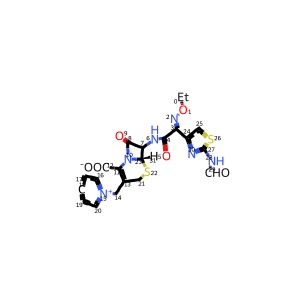 CCON=C(C(=O)NC1C(=O)N2C(C(=O)[O-])=C(C[n+]3ccccc3)CS[C@@H]12)c1csc(NC=O)n1